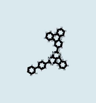 c1ccc(-c2ccc(-c3nc4c5c(nc(-c6ccc7c8ccccc8c8ccccc8c7c6)nc5n3)-c3ccccc3-4)cc2)cc1